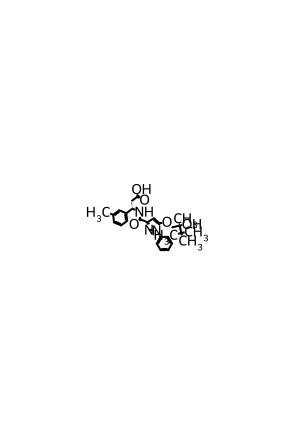 Cc1cccc([C@H](CC(=O)O)NC(=O)c2cc(OC[C@@](C)(O)C(C)(C)C)n(-c3ccccc3)n2)c1